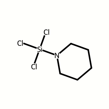 Cl[Si](Cl)(Cl)N1CCCCC1